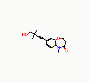 CN1C(=O)CCOc2cc(C#CC(C)(C)CO)ccc21